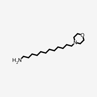 NCCCCCCCCCCCCN1CCOCC1